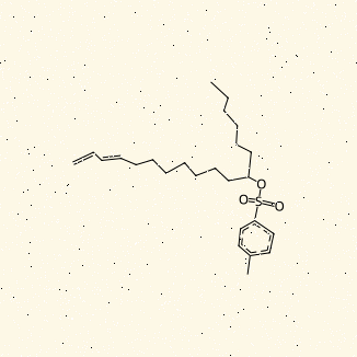 C=CC=CCCCCCCCC(CCCCCC)OS(=O)(=O)c1ccc(C)cc1